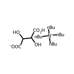 CCCC[N+](CCCC)(CCCC)CCCC.O=C([O-])C(O)C(O)C(=O)O